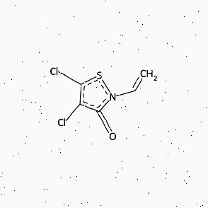 C=Cn1sc(Cl)c(Cl)c1=O